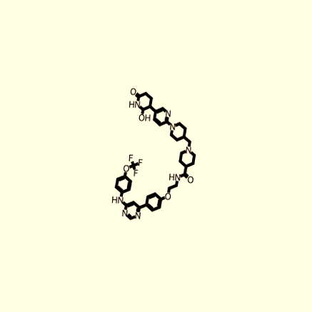 O=C1CCC(c2ccc(N3CCC(CN4CCC(C(=O)NCCOc5ccc(-c6cc(Nc7ccc(OC(F)(F)F)cc7)ncn6)cc5)CC4)CC3)nc2)C(O)N1